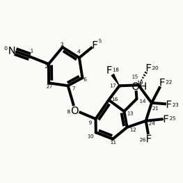 N#Cc1cc(F)cc(Oc2ccc3c(CO)c2[C@@H](F)[C@H](F)C(F)(F)C3(F)F)c1